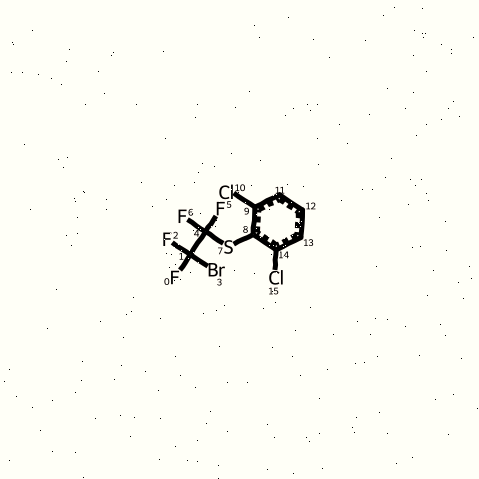 FC(F)(Br)C(F)(F)Sc1c(Cl)cccc1Cl